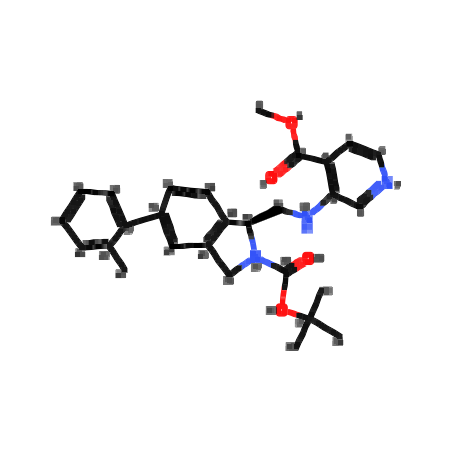 COC(=O)c1ccncc1NC[C@@H]1c2ccc(-c3ccccc3C)cc2CN1C(=O)OC(C)(C)C